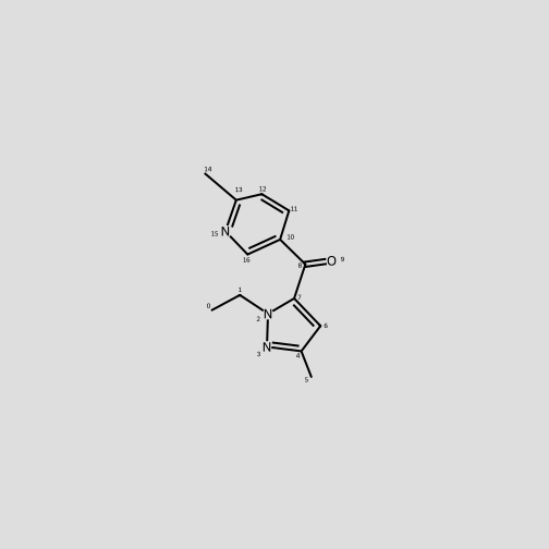 CCn1nc(C)cc1C(=O)c1ccc(C)nc1